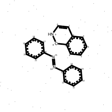 C1=Cc2ccccc2ON1.c1ccc(N=Nc2ccccc2)cc1